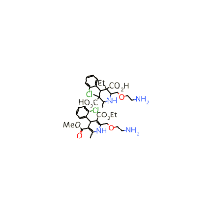 CCC1(C(=O)O)C(COCCN)NC(C)C(C)(C(=O)O)C1c1ccccc1Cl.CCOC(=O)C1=C(COCCN)NC(C)=C(C(=O)OC)C1c1ccccc1Cl